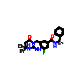 CC[C@@]1(C(C)C)CC(=O)N(Cc2cc(F)cc(C(=O)N[C@@H](C)c3ccccc3)c2)C(=N)N1